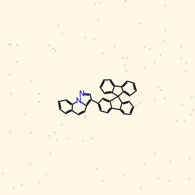 c1ccc2c(c1)-c1ccccc1C21c2ccccc2-c2ccc(-c3cnn4c3ccc3ccccc34)cc21